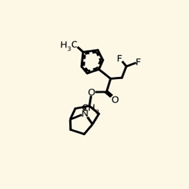 Cc1ccc(C(CC(F)F)C(=O)OC2CC3CCC(C2)N3C)cc1